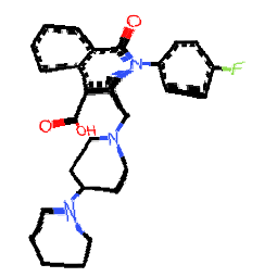 O=C(O)c1c(CN2CCC(N3CCCCC3)CC2)n(-c2ccc(F)cc2)c(=O)c2ccccc12